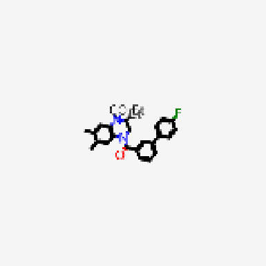 CCOC(=O)N1c2cc(C)c(C)cc2N(C(=O)c2cccc(-c3ccc(F)cc3)c2)CC1CC